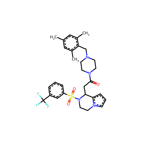 Cc1cc(C)c(CN2CCN(C(=O)CC3c4cccn4CCN3S(=O)(=O)c3cccc(C(F)(F)F)c3)CC2)c(C)c1